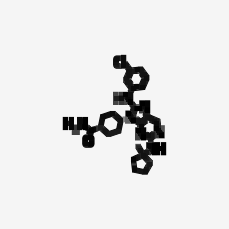 CC1(Nc2ncc3nc(Nc4cccc(Cl)c4)n([C@H]4CC[C@H](C(N)=O)CC4)c3n2)CCCC1